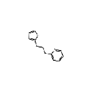 [CH](CCc1ccccn1)c1ccco1